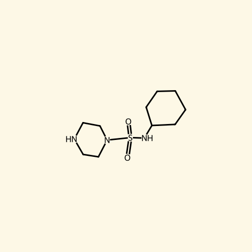 O=S(=O)(NC1CCCCC1)N1CCNCC1